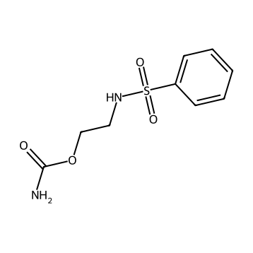 NC(=O)OCCNS(=O)(=O)c1ccccc1